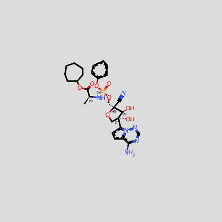 C[C@H](N[P@](=O)(OC[C@@]1(C#N)OC[C@](O)(c2ccc3c(N)ncnn23)[C@@H]1O)Oc1ccccc1)C(=O)OC1CCCCCC1